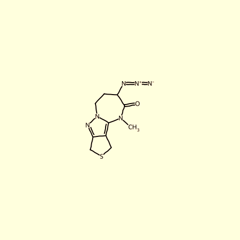 CN1C(=O)C(N=[N+]=[N-])CCn2nc3c(c21)CSC3